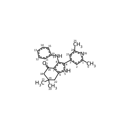 Cc1cc(-c2[nH]c3c(c2Nc2ccccc2)C(=O)CC(C)(C)C3)cc(C)n1